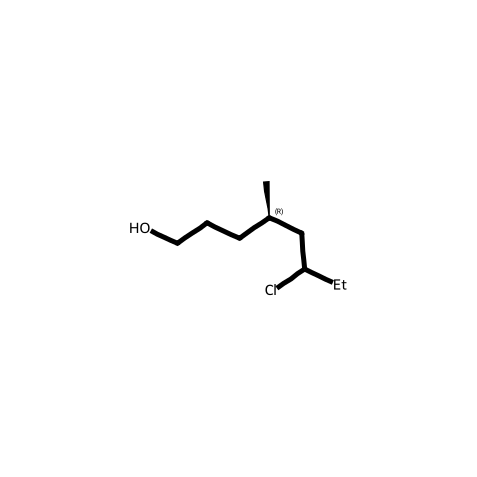 CCC(Cl)C[C@H](C)CCCO